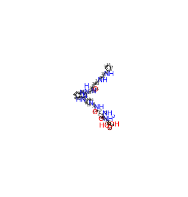 N[C@@H](CCC(=O)NCCN1CCC(Nc2nc(NCc3cc(CCCNCCCNC4CCCCC4)on3)nc3ccccc23)CC1)C(=O)NCCP(=O)(O)O